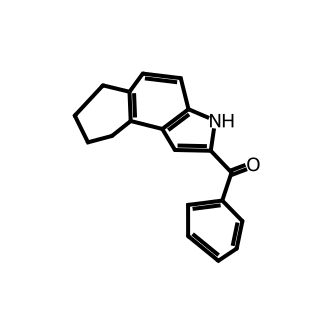 O=C(c1ccccc1)c1cc2c3c(ccc2[nH]1)CCCC3